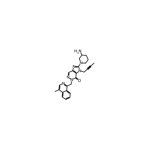 CC#CCn1c(N2CCCC(N)C2)nc2cnn(Cc3ncc(C)c4ccccc34)c(=O)c21